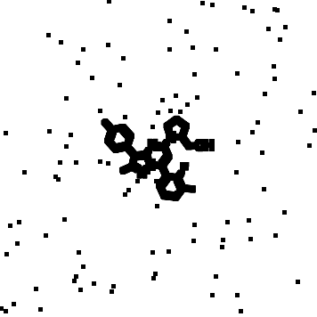 Cc1ccc(-c2c(C)nn3c(-c4cccc(C)c4F)cc(N4CCCC4CO)nc23)cc1